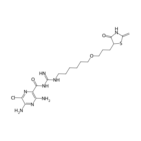 C=C1NC(=O)C(CCCOCCCCCCNC(=N)NC(=O)c2nc(Cl)c(N)nc2N)S1